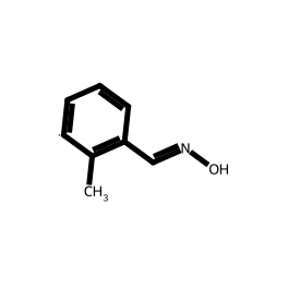 Cc1[c]cccc1C=NO